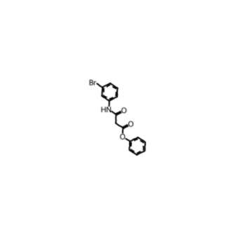 O=C(CC(=O)Oc1ccccc1)Nc1cccc(Br)c1